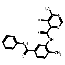 Cc1ccc(C(=O)Nc2ccccc2)cc1NC(=O)c1ncnc(N)c1O